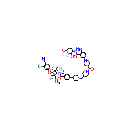 CC1(C)[C@H](NC(=O)c2ccc(C3CCN(CC4CCN(C(=O)C5CCN(c6ccc7nnn(C8CCC(=O)NC8=O)c(=O)c7c6)CC5)CC4)CC3)cc2)C(C)(C)[C@H]1Oc1ccc(C#N)c(Cl)c1